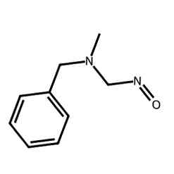 CN(CN=O)Cc1ccccc1